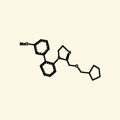 COc1cccc(-c2ccccc2N2CCN=C2COCC2CCCC2)c1